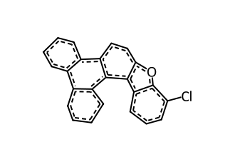 Clc1cccc2c1oc1ccc3c4ccccc4c4ccccc4c3c12